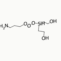 NCCCOOO[SiH](CCO)CCO